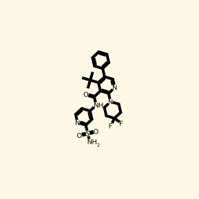 CC(C)(C)c1c(-c2ccccc2)cnc(N2CCC(F)(F)CC2)c1C(=O)Nc1ccnc(S(N)(=O)=O)c1